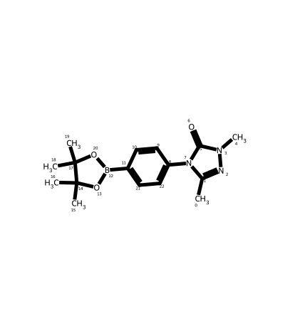 Cc1nn(C)c(=O)n1-c1ccc(B2OC(C)(C)C(C)(C)O2)cc1